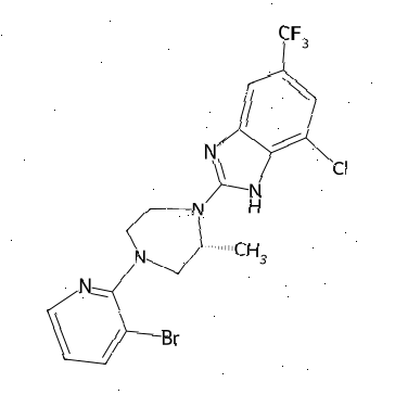 C[C@@H]1CN(c2ncccc2Br)CCN1c1nc2cc(C(F)(F)F)cc(Cl)c2[nH]1